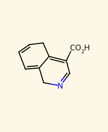 O=C(O)C1=C2CC=CC=C2CN=C1